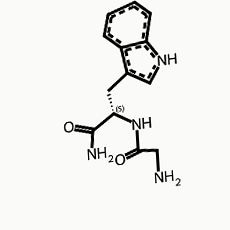 NCC(=O)N[C@@H](Cc1c[nH]c2ccccc12)C(N)=O